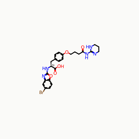 O=C(CCCOc1ccc(C[C@H](Nc2nc3cc(Br)ccc3o2)C(=O)O)cc1)NC1=NCCCN1